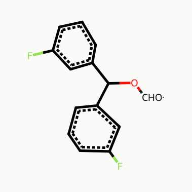 O=[C]OC(c1cccc(F)c1)c1cccc(F)c1